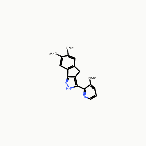 CNc1cccnc1-c1[nH]nc2c1Cc1cc(OC)c(OC)cc1-2